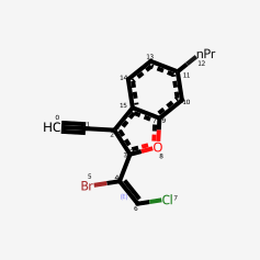 C#Cc1c(/C(Br)=C\Cl)oc2cc(CCC)ccc12